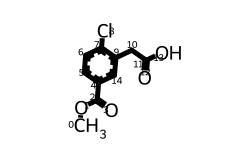 COC(=O)c1ccc(Cl)c(CC(=O)O)c1